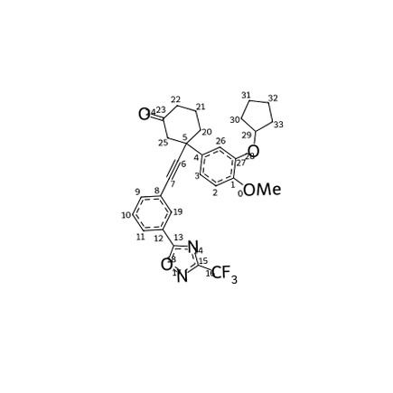 COc1ccc(C2(C#Cc3cccc(-c4nc(C(F)(F)F)no4)c3)CCCC(=O)C2)cc1OC1CCCC1